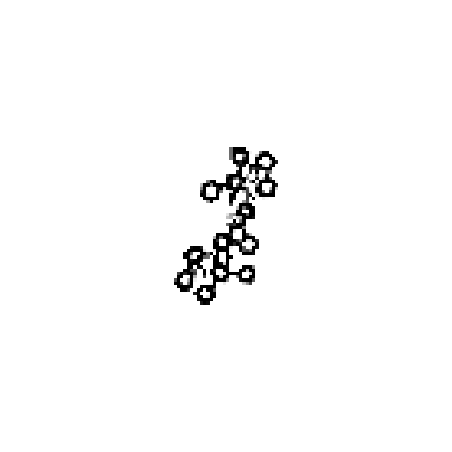 CC12C=CC=CC1c1cccc(N(c3ccc4c(c3)sc3c5ccc(N(c6cc(-c7ccccc7)cc(-c7ccccc7)c6F)c6cccc7c6oc6ccccc67)cc5c5ccccc5c43)c3cc(-c4ccccc4)cc(-c4ccccc4)c3F)c1O2